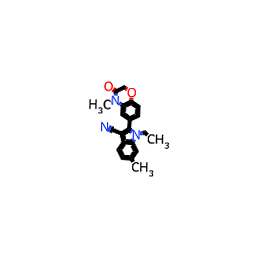 CCn1c(-c2ccc3c(c2)N(C)C(=O)CO3)c(C#N)c2ccc(C)cc21